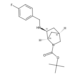 CC(C)(C)OC(=O)N1C[C@@H]2C[C@H](NCc3ccc(F)cc3)[C@H]1C2